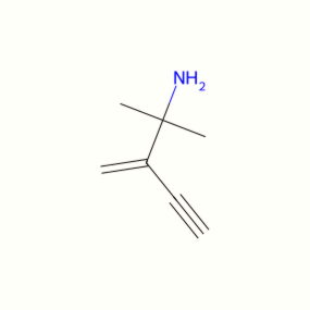 C#CC(=C)C(C)(C)N